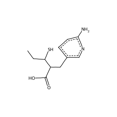 CCC(S)C(Cc1ccc(N)nc1)C(=O)O